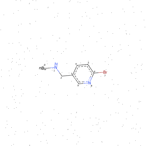 CCCCNCc1ccc(Br)nc1